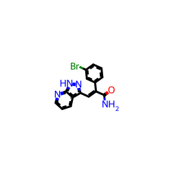 NC(=O)/C(=C/c1n[nH]c2ncccc12)c1cccc(Br)c1